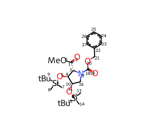 COC(=O)[C@H]1[C@H](O[Si](C)(C)C(C)(C)C)[C@H](O[Si](C)(C)C(C)(C)C)CN1C(=O)OCc1ccccc1